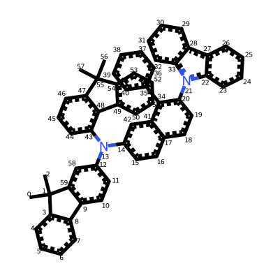 CC1(C)c2ccccc2-c2ccc(N(c3ccc4ccc(-n5c6ccccc6c6ccccc65)c(-c5ccccc5)c4c3)c3cccc4c3-c3ccccc3C4(C)C)cc21